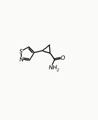 NC(=O)C1CC1c1cnsc1